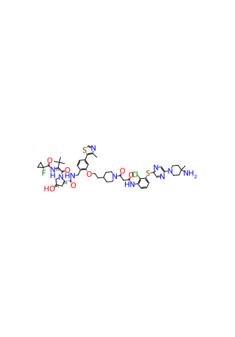 Cc1ncsc1-c1ccc(CNC(=O)[C@@H]2C[C@@H](O)CN2C(=O)[C@@H](NC(=O)C2(F)CC2)C(C)(C)C)c(OCCC2CCN(C(=O)CC(=O)Nc3cccc(Sc4cnc(N5CCC(C)(N)CC5)cn4)c3Cl)CC2)c1